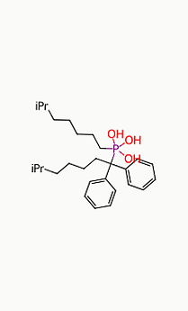 CC(C)CCCCCP(O)(O)(O)C(CCCCC(C)C)(c1ccccc1)c1ccccc1